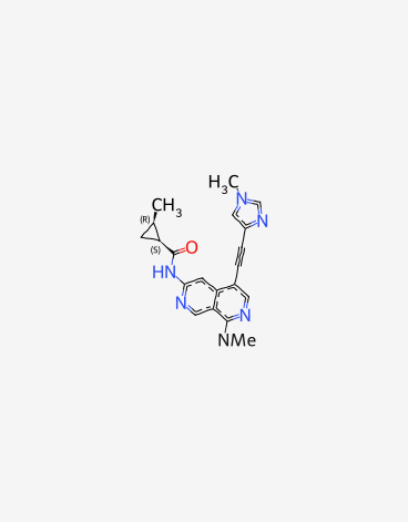 CNc1ncc(C#Cc2cn(C)cn2)c2cc(NC(=O)[C@H]3C[C@H]3C)ncc12